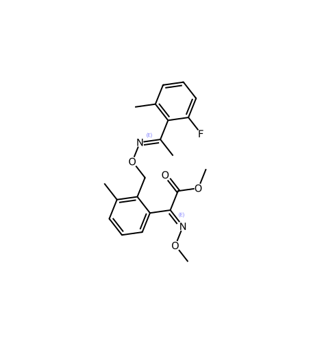 CO/N=C(/C(=O)OC)c1cccc(C)c1CO/N=C(\C)c1c(C)cccc1F